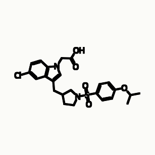 CC(C)Oc1ccc(S(=O)(=O)N2CCC(Cc3cn(CC(=O)O)c4ccc(Cl)cc34)C2)cc1